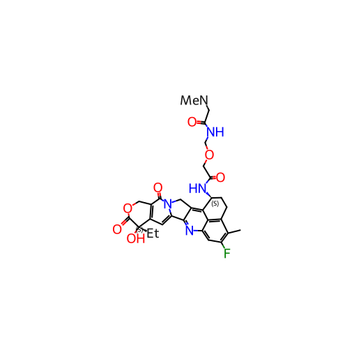 CC[C@@]1(O)C(=O)OCc2c1cc1n(c2=O)Cc2c-1nc1cc(F)c(C)c3c1c2[C@@H](NC(=O)COCNC(=O)CNC)CC3